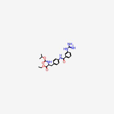 CCOC(=O)C(Cc1ccc(NC(=O)c2cccc(NC(=N)N)c2)cc1)NC(=O)OC(C)C